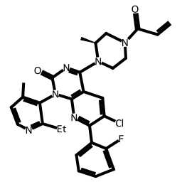 C=CC(=O)N1CCN(c2nc(=O)n(-c3c(C)ccnc3CC)c3nc(-c4ccccc4F)c(Cl)cc23)[C@@H](C)C1